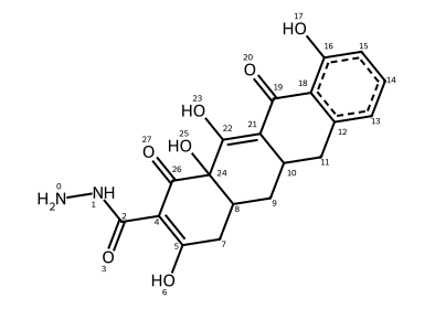 NNC(=O)C1=C(O)CC2CC3Cc4cccc(O)c4C(=O)C3=C(O)C2(O)C1=O